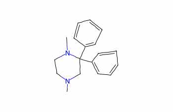 CN1CCN(C)C(c2ccccc2)(c2ccccc2)C1